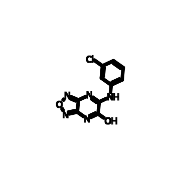 Oc1nc2nonc2nc1Nc1cccc(Cl)c1